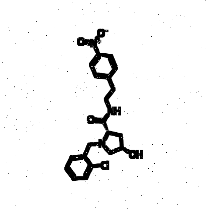 O=C(NCCc1ccc([N+](=O)[O-])cc1)[C@@H]1C[C@@H](O)CN1Cc1ccccc1Cl